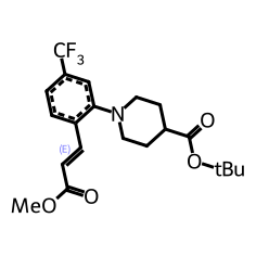 COC(=O)/C=C/c1ccc(C(F)(F)F)cc1N1CCC(C(=O)OC(C)(C)C)CC1